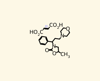 CC1CN(C(CCN2CCOCC2)c2ccccc2)C(=O)O1.O=C(O)/C=C/C(=O)O